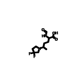 CC(CCC(NC=O)C(=O)O)N1CCC(F)(F)C1